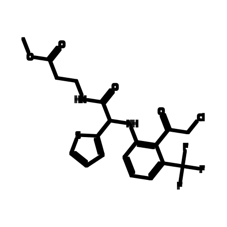 COC(=O)CCNC(=O)C(Nc1cccc(C(F)(F)F)c1C(=O)CCl)c1cccs1